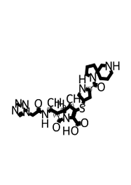 C[C@@H](NC(=O)Cn1cnnn1)[C@H]1C(=O)N2C(C(=O)O)=C(SC3CN[C@H](C(=O)N4CCCC45CCCNC5)C3)[C@H](C)[C@H]12